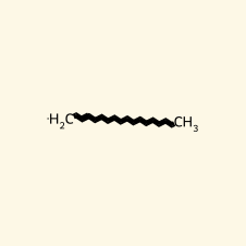 [CH2]CC=CCCCCCCCCCCCCCC